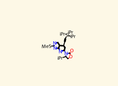 CSc1ncc2c(C#C[Si](C(C)C)(C(C)C)C(C)C)cc(N3C(=O)OCC3C(C)C)nc2n1